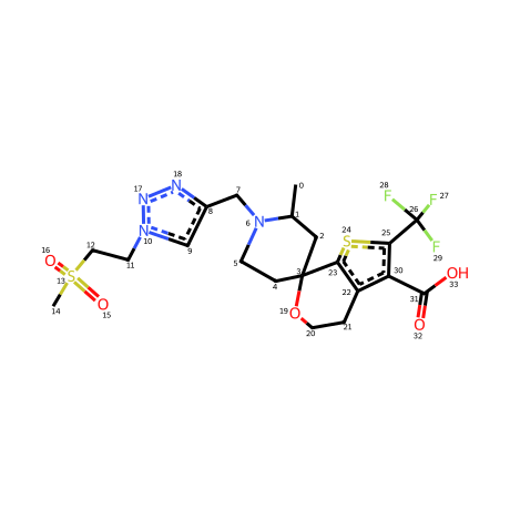 CC1CC2(CCN1Cc1cn(CCS(C)(=O)=O)nn1)OCCc1c2sc(C(F)(F)F)c1C(=O)O